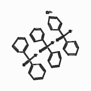 O=P([O-])(c1ccccc1)c1ccccc1.O=P([O-])(c1ccccc1)c1ccccc1.O=P([O-])(c1ccccc1)c1ccccc1.[Cr+3]